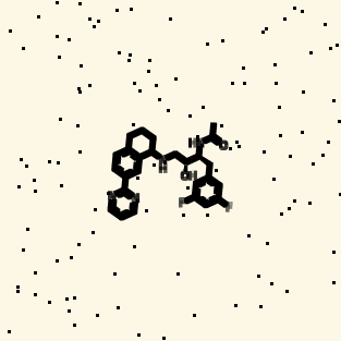 CC(=O)N[C@@H](Cc1cc(F)cc(F)c1)[C@H](O)CNC1CCCc2ccc(-c3ncccn3)cc21